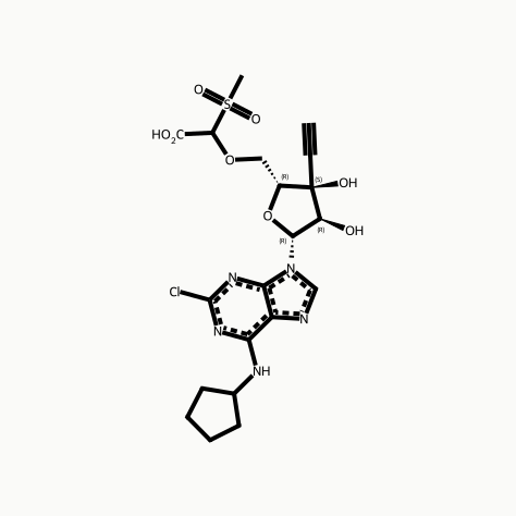 C#C[C@@]1(O)[C@@H](COC(C(=O)O)S(C)(=O)=O)O[C@@H](n2cnc3c(NC4CCCC4)nc(Cl)nc32)[C@@H]1O